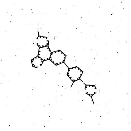 Cc1ncc(-c2ccc(-c3ccc4c(c3)c3sccc3c3nc(C(C)C)[nH]c43)cc2F)[nH]1